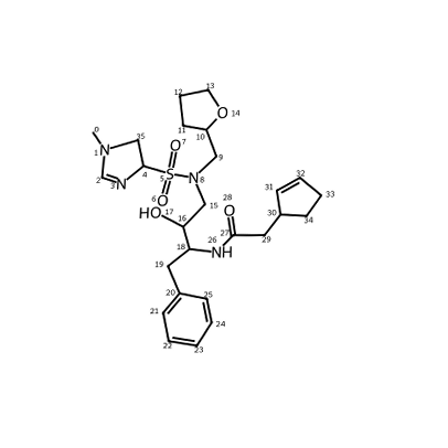 CN1C=NC(S(=O)(=O)N(CC2CCCO2)CC(O)C(Cc2ccccc2)NC(=O)CC2C=CCC2)C1